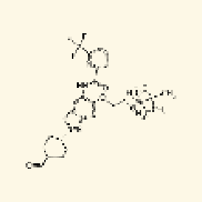 CC(C)(C)[Si](C)(C)OCCOc1cc2nn([C@H]3CC[C@H](C=O)CC3)cc2cc1NC(=O)c1cccc(C(F)(F)F)n1